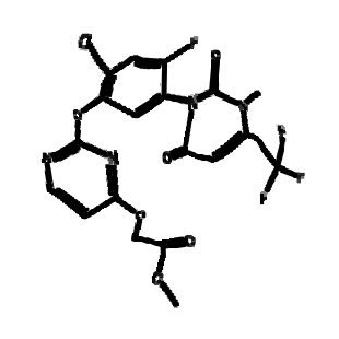 COC(=O)COc1ccnc(Oc2cc(-n3c(=O)cc(C(F)(F)F)n(C)c3=O)c(F)cc2Cl)n1